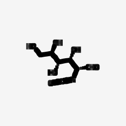 O=C=N[C@@H](C=O)[C@@H](O)[C@H](O)[C@H](O)CO